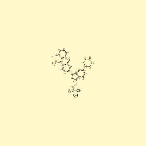 O=c1cc(-c2cn(COP(=O)(O)O)c3ncc(N4CCOCC4)cc23)ccn1C(c1ccccc1F)C(F)(F)F